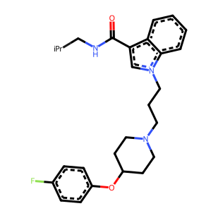 CC(C)CNC(=O)c1cn(CCCN2CCC(Oc3ccc(F)cc3)CC2)c2ccccc12